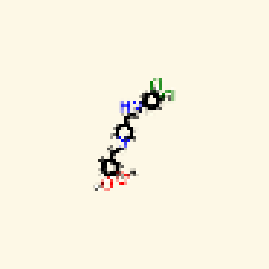 COc1ccc(CCN2CCC(CCNc3ccc(Cl)c(Cl)c3)CC2)cc1OC